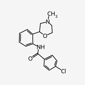 CN1CCOC(c2ccccc2NC(=O)c2ccc(Cl)cc2)C1